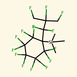 C[Si](C)(C)C1(C(F)(F)C(F)(CF)CF)C(F)(F)C(F)(F)C(F)(F)C(F)(F)C1(F)F